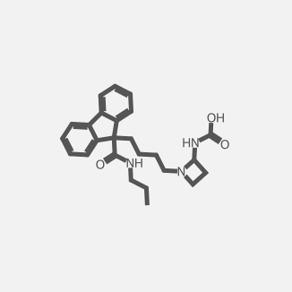 CCCNC(=O)C1(CCCCN2CCC2NC(=O)O)c2ccccc2-c2ccccc21